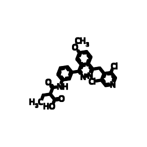 CCC(C(=O)O)C(=O)Nc1cccc(-c2nnc(Cc3c(Cl)cncc3Cl)c3ccc(OC)cc23)c1